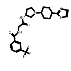 O=C(CNC(=O)c1cccc(C(F)(F)F)c1)N[C@@H]1CCN(C2CCC(c3nccs3)CC2)C1